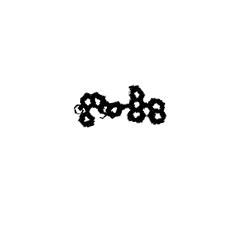 c1ccc2c(-c3c4ccccc4c(-c4ccc5sc6c(ccc7ccc8oc9ccccc9c8c76)c5c4)c4ccccc34)cccc2c1